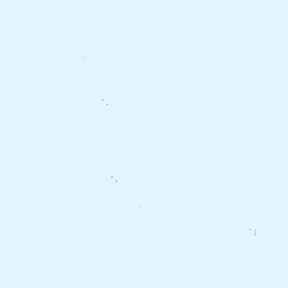 CC(=O)N(c1cnc2c(Br)cccc2c1)S(=O)(=O)c1ccc2c(c1)CNCC2